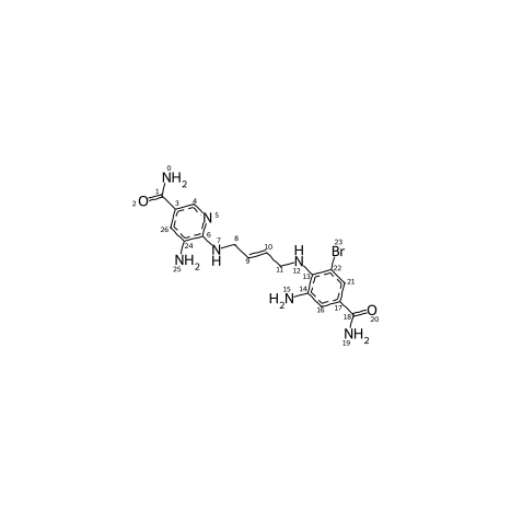 NC(=O)c1cnc(NCC=CCNc2c(N)cc(C(N)=O)cc2Br)c(N)c1